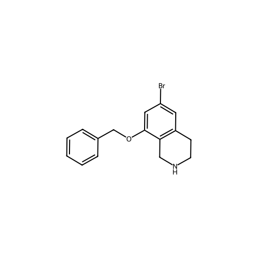 Brc1cc2c(c(OCc3ccccc3)c1)CNCC2